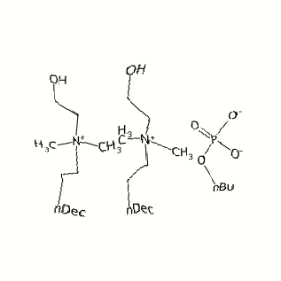 CCCCCCCCCCCC[N+](C)(C)CCO.CCCCCCCCCCCC[N+](C)(C)CCO.CCCCOP(=O)([O-])[O-]